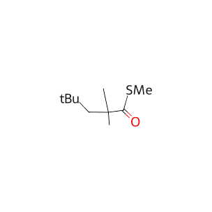 CSC(=O)C(C)(C)CC(C)(C)C